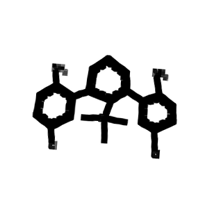 C[Si](C)(C)c1c(-c2cc(Cl)ccc2N)cccc1-c1cc(Cl)ccc1N